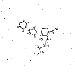 COC(=O)Nc1nc2c(OC)ccc(-c3csc(-c4ccccn4)n3)c2s1